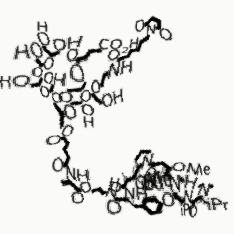 CC[C@H](C)[C@@H]([C@@H](CC(=O)N1CCC[C@H]1[C@H](OC)[C@@H](C)C(=O)N[C@@H](Cc1ccccc1)C(=O)NCCCOC(=O)C(C)NC(=O)CCCC(=O)OCC(COC(CO)OC(CO)COC(CO)OC(CO)CO)OC(CO)OCC(COC(=O)CCCC(=O)O)OC(CO)OCCNC(=O)CCCCCN1C(=O)C=CC1=O)OC)N(C)C(=O)[C@@H](NC(=O)[C@H](C(C)C)N(C)C)C(C)C